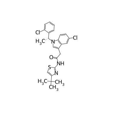 C[C@H](c1ccccc1Cl)n1cc(CC(=O)Nc2nc(C(C)(C)C)cs2)c2cc(Cl)ccc21